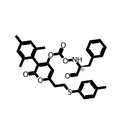 Cc1ccc(SCCc2cc(OC(=O)ON[C@H](C=O)Cc3ccccc3)c(-c3c(C)cc(C)cc3C)c(=O)o2)cc1